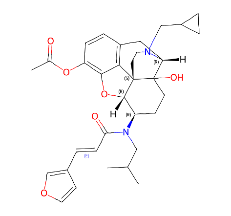 CC(=O)Oc1ccc2c3c1O[C@H]1[C@H](N(CC(C)C)C(=O)/C=C/c4ccoc4)CCC4(O)[C@@H](C2)N(CC2CC2)CC[C@]314